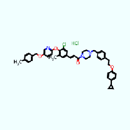 Cc1ccc(COc2ccc(Oc3c(C)cc(/C=C/C(=O)N4CCN(Cc5ccc(CCOc6ccc(C7CC7)cc6)cc5)CC4)cc3Cl)nc2)cc1.Cl